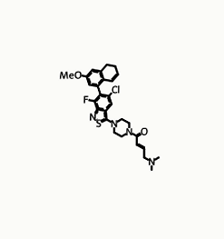 COc1cc2c(c(-c3c(Cl)cc4c(N5CCN(C(=O)/C=C/CN(C)C)CC5)snc4c3F)c1)C=CCC2